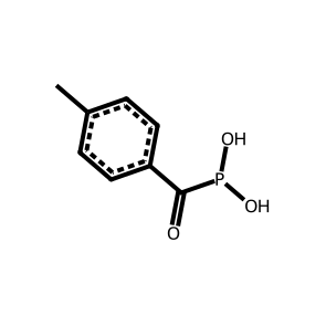 Cc1ccc(C(=O)P(O)O)cc1